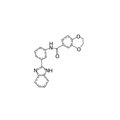 O=C(Nc1cccc(-c2nc3ccccc3[nH]2)c1)c1ccc2c(c1)OCCO2